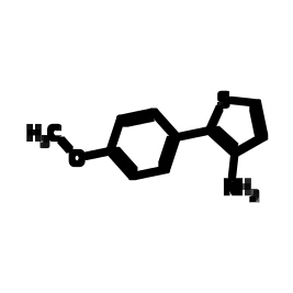 COc1ccc(-c2sccc2N)cc1